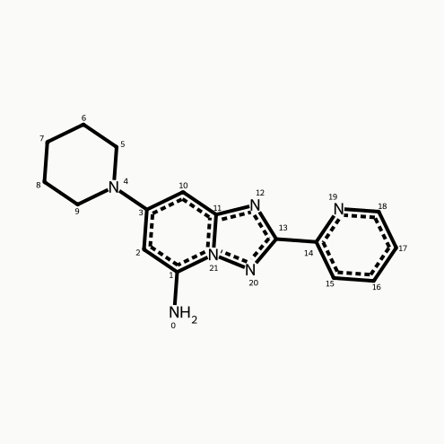 Nc1cc(N2CCCCC2)cc2nc(-c3ccccn3)nn12